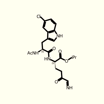 CC(=O)N[C@@H](Cc1c[nH]c2ccc(Cl)cc12)C(=O)N[C@@H](CCC(=O)C=N)C(=O)OC(C)C